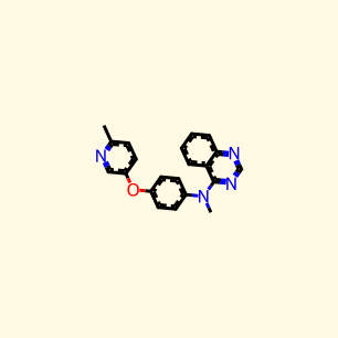 Cc1ccc(Oc2ccc(N(C)c3ncnc4ccccc34)cc2)cn1